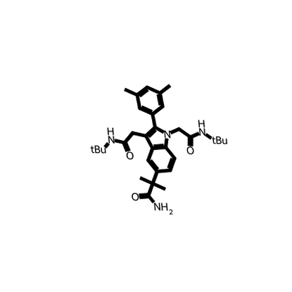 Cc1cc(C)cc(-c2c(CC(=O)NC(C)(C)C)c3cc(C(C)(C)C(N)=O)ccc3n2CC(=O)NC(C)(C)C)c1